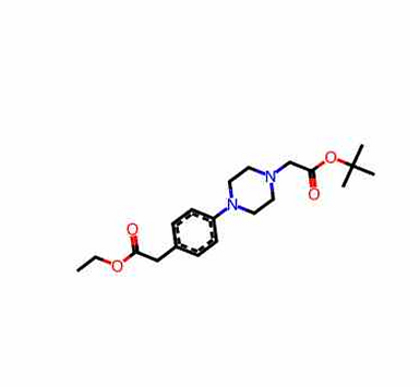 CCOC(=O)Cc1ccc(N2CCN(CC(=O)OC(C)(C)C)CC2)cc1